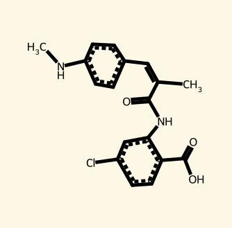 CNc1ccc(C=C(C)C(=O)Nc2cc(Cl)ccc2C(=O)O)cc1